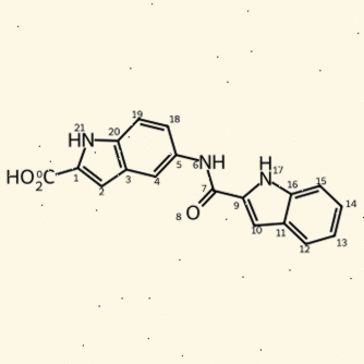 O=C(O)c1cc2cc(NC(=O)c3cc4ccccc4[nH]3)ccc2[nH]1